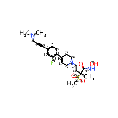 CN(C)CC#Cc1ccc(C2=CCN(CCC(C)(C(=O)NO)S(C)(=O)=O)CC2)c(F)c1